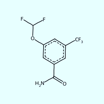 NC(=O)c1cc(OC(F)F)cc(C(F)(F)F)c1